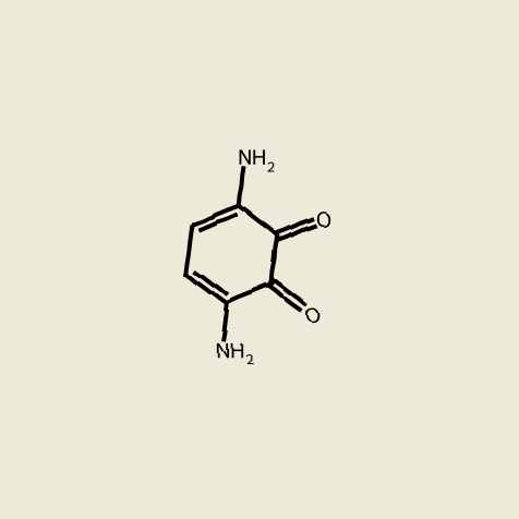 NC1=CC=C(N)C(=O)C1=O